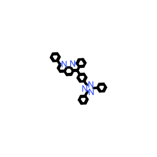 c1ccc(-c2ccc3ccc4c(-c5ccc(-c6nc(-c7ccccc7)nc(-c7ccccc7)n6)cc5)c5ccccc5nc4c3n2)cc1